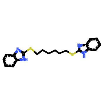 c1ccc2[nH]c(SCCCCCCSc3nc4ccccc4[nH]3)nc2c1